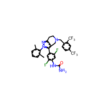 Cc1cccc(C)c1-n1nc2c(c1-c1cc(F)c(NC(N)=O)cc1F)CN(Cc1ccc(C(F)(F)F)cc1C(F)(F)F)CC2